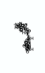 CNC(=O)c1cnc2cc(OC)c(-c3ccc(C(=O)NCCCCNC(=O)CN(C)c4cccc5c4C(=O)N(C4CCC(=O)NC4=O)C5=O)cc3)cc2c1Nc1ccccc1